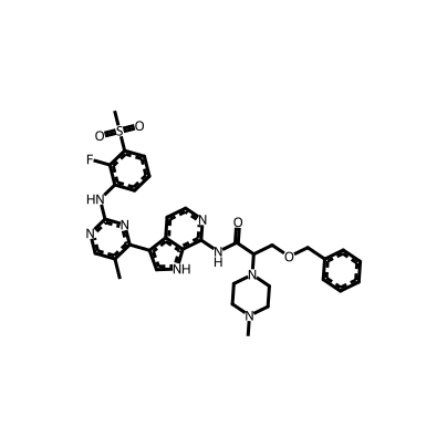 Cc1cnc(Nc2cccc(S(C)(=O)=O)c2F)nc1-c1c[nH]c2c(NC(=O)C(COCc3ccccc3)N3CCN(C)CC3)nccc12